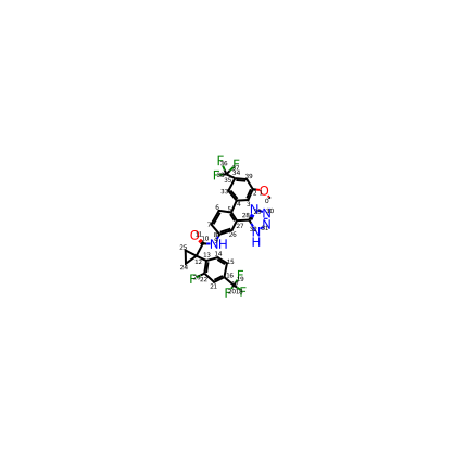 COc1cc(-c2ccc(NC(=O)C3(c4ccc(C(F)(F)F)cc4F)CC3)cc2-c2nnn[nH]2)cc(C(F)(F)F)c1